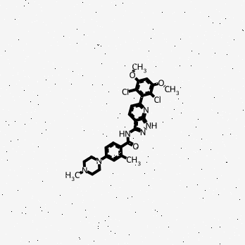 COc1cc(OC)c(Cl)c(-c2ccc3c(NC(=O)c4ccc(N5CCN(C)CC5)cc4C)n[nH]c3n2)c1Cl